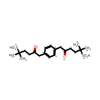 CC(C)(CCC(=O)Cc1ccc(CC(=O)CCC(C)(C)S(=O)(=O)O)cc1)S(=O)(=O)O